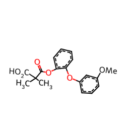 COc1cccc(Oc2ccccc2OC(=O)C(C)(C)C(=O)O)c1